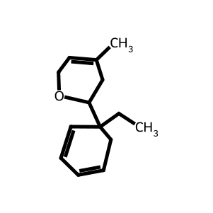 CCC1(C2CC(C)=CCO2)C=CC=CC1